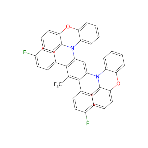 Fc1ccc(-c2c(N3c4ccccc4Oc4ccccc43)cc(N3c4ccccc4Oc4ccccc43)c(-c3ccc(F)cc3)c2C(F)(F)F)cc1